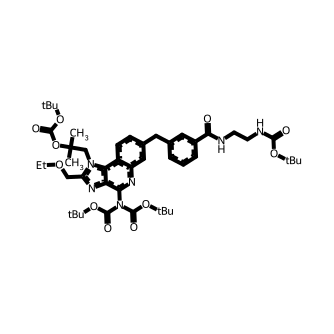 CCOCc1nc2c(N(C(=O)OC(C)(C)C)C(=O)OC(C)(C)C)nc3cc(Cc4cccc(C(=O)NCCNC(=O)OC(C)(C)C)c4)ccc3c2n1CC(C)(C)OC(=O)OC(C)(C)C